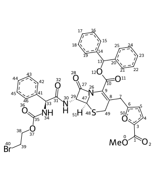 COC(=O)c1ccc(CC2=C(C(=O)OC(c3ccccc3)c3ccccc3)N3C(=O)[C@@H](NC(=O)[C@@H](NC(=O)OCCBr)c4ccccc4)[C@@H]3SC2)o1